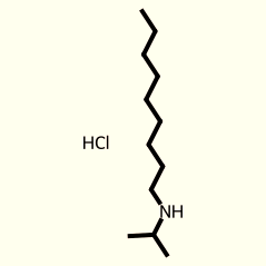 CCCCCCCCCNC(C)C.Cl